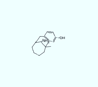 CC12CCCCC(Cc3ccc(O)cc31)C2N